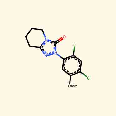 COc1cc(-n2nc3n(c2=O)CCCC3)c(Cl)cc1Cl